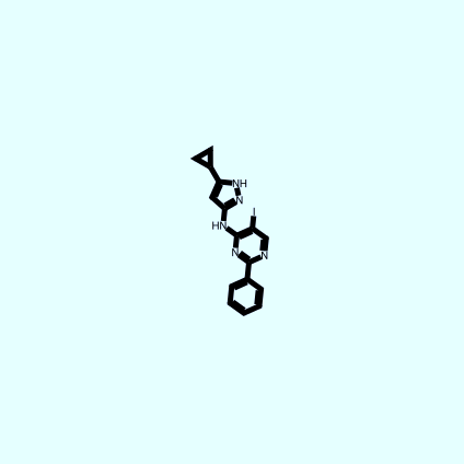 Ic1cnc(-c2ccccc2)nc1Nc1cc(C2CC2)[nH]n1